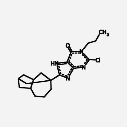 CCCn1c(Cl)nc2nc(C34CCCC5CC(CC5C3)C4)[nH]c2c1=O